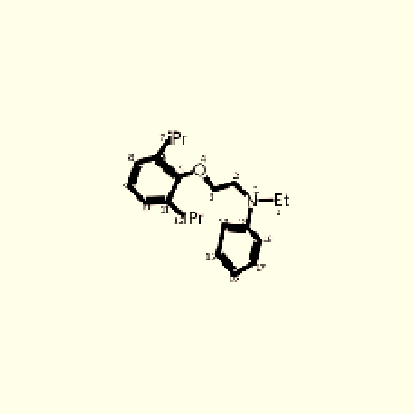 CCN(CCOc1c(C(C)C)cccc1C(C)C)c1ccccc1